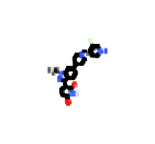 Cn1nc(C2CCC(=O)NC2=O)c2ccc(C3CCN(C[C@H]4CCNC[C@@H]4F)CC3)cc21